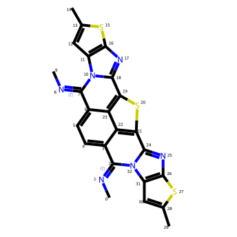 C/N=c1/c2ccc3/c(=N/C)n4c5cc(C)sc5nc4c4sc(c2c34)c2nc3sc(C)cc3n12